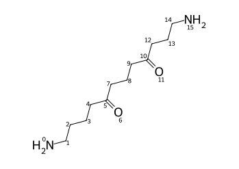 NCCCCC(=O)CCCC(=O)CCCN